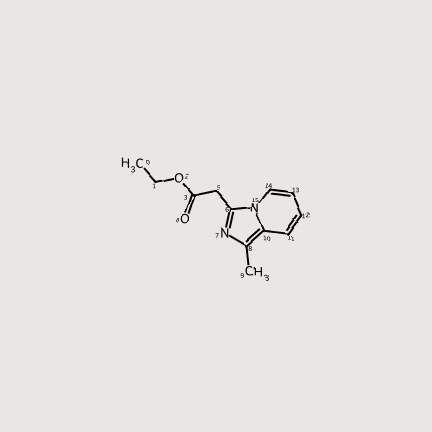 CCOC(=O)Cc1nc(C)c2ccccn12